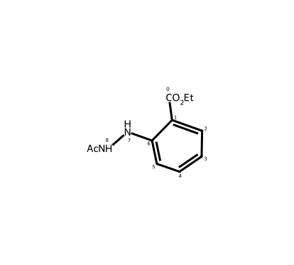 CCOC(=O)c1ccccc1NNC(C)=O